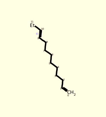 C=CCCCCCCC/C=C/CC